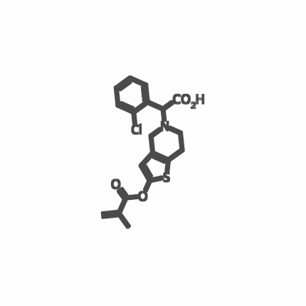 C=C(C)C(=O)Oc1cc2c(s1)CCN(C(C(=O)O)c1ccccc1Cl)C2